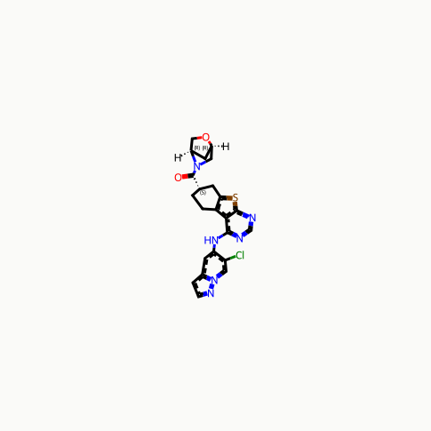 O=C([C@H]1CCc2c(sc3ncnc(Nc4cc5ccnn5cc4Cl)c23)C1)N1C[C@H]2C[C@@H]1CO2